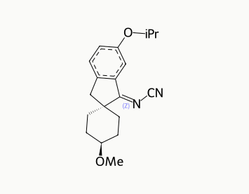 CO[C@H]1CC[C@]2(CC1)Cc1ccc(OC(C)C)cc1/C2=N\C#N